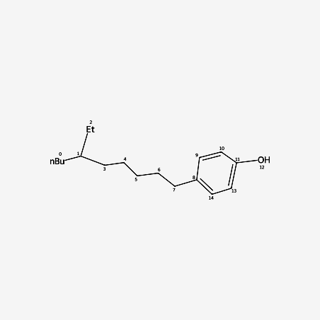 CCCCC(CC)CCCCCc1ccc(O)cc1